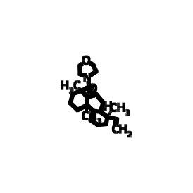 C=C[C@@]1(C)CCC=C2[C@H]1CC[C@@H]1[C@](C)(C(=O)N3CCOCC3)CCC[C@@]21C